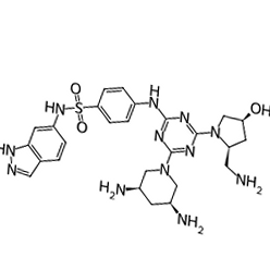 NC[C@@H]1C[C@H](O)CN1c1nc(Nc2ccc(S(=O)(=O)Nc3ccc4cn[nH]c4c3)cc2)nc(N2C[C@H](N)C[C@H](N)C2)n1